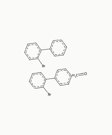 Brc1ccccc1-c1ccccc1.Brc1ccccc1-c1ccccc1.C=O